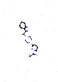 O=C(c1[nH]nc2ccccc12)N1CCN(c2ccc3nnc(C(F)(F)F)n3n2)CC1